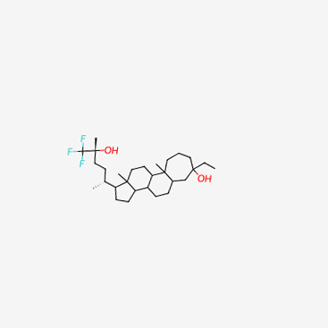 CCC1(O)CCCC2(C)C(CCC3C2CCC2(C)C3CCC2[C@H](C)CC[C@@](C)(O)C(F)(F)F)C1